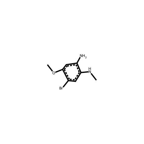 CNc1cc(Br)c(OC)cc1N